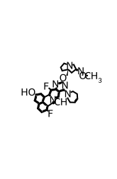 C#Cc1c(F)ccc2cc(O)cc(-c3ncc4c(N5CCC=CCC5)nc(OC[C@@]56CCCN5C/C(=N/OC)C6)nc4c3F)c12